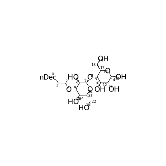 CCCCCCCCCCCCO[C@@H]1[C@@H](O)[C@@H](O[C@H]2[C@H](O)[C@@H](O)[C@H](O)O[C@@H]2CO)O[C@H](CO)[C@H]1O